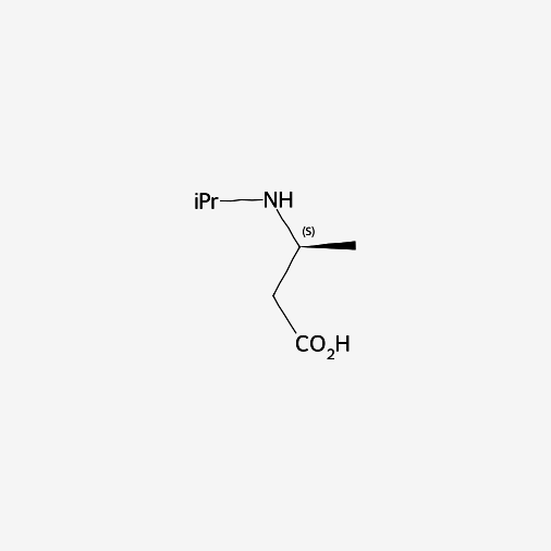 CC(C)N[C@@H](C)CC(=O)O